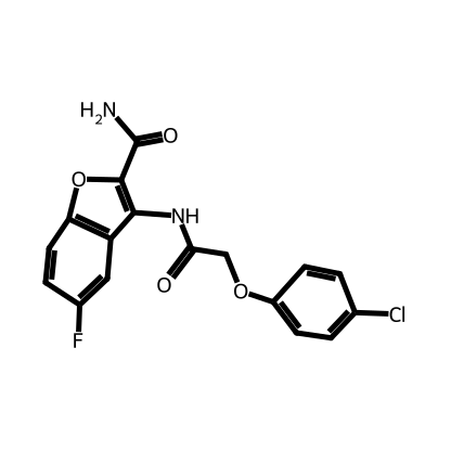 NC(=O)c1oc2ccc(F)cc2c1NC(=O)COc1ccc(Cl)cc1